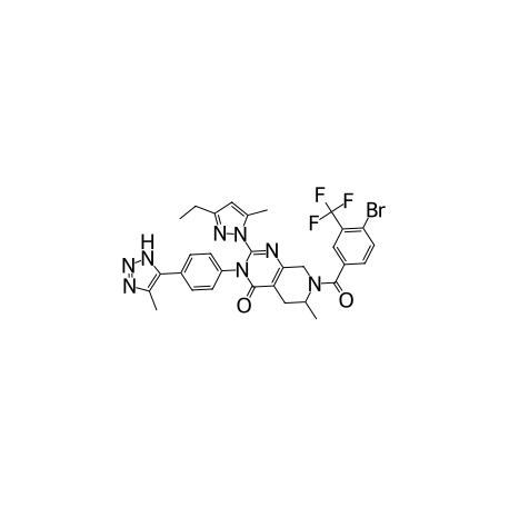 CCc1cc(C)n(-c2nc3c(c(=O)n2-c2ccc(-c4[nH]nnc4C)cc2)CC(C)N(C(=O)c2ccc(Br)c(C(F)(F)F)c2)C3)n1